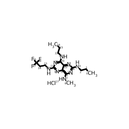 CCCNc1nc(NC)c2nc(NCCC(F)(F)F)nc(NCCC)c2n1.Cl